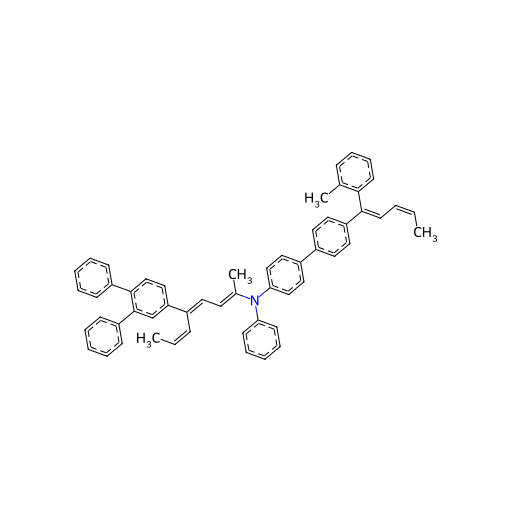 C/C=C\C=C(\c1ccc(-c2ccc(N(/C(C)=C/C=C(\C=C/C)c3ccc(-c4ccccc4)c(-c4ccccc4)c3)c3ccccc3)cc2)cc1)c1ccccc1C